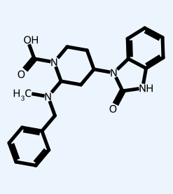 CN(Cc1ccccc1)C1CC(n2c(=O)[nH]c3ccccc32)CCN1C(=O)O